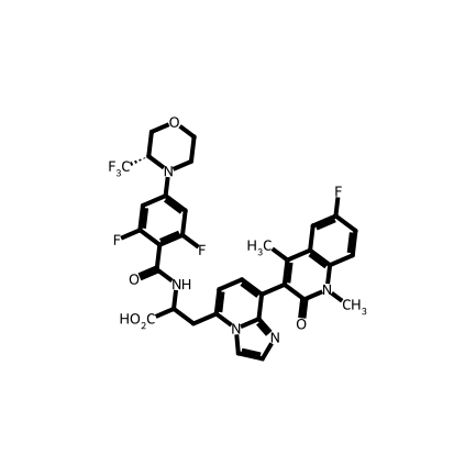 Cc1c(-c2ccc(CC(NC(=O)c3c(F)cc(N4CCOC[C@H]4C(F)(F)F)cc3F)C(=O)O)n3ccnc23)c(=O)n(C)c2ccc(F)cc12